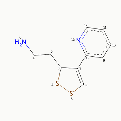 NCCC1SSC=C1c1ccccn1